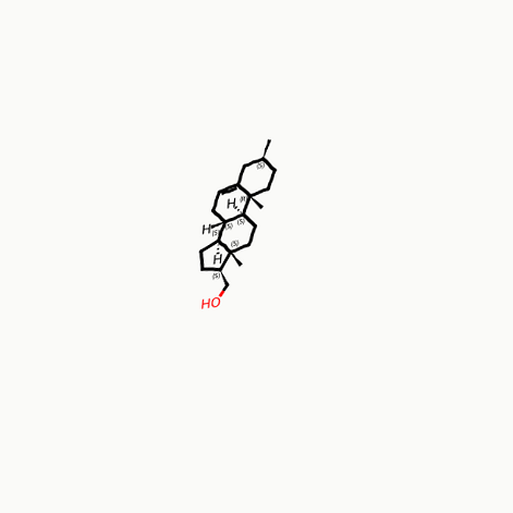 C[C@H]1CC[C@@]2(C)C(=CC[C@H]3[C@@H]4CC[C@H](CO)[C@@]4(C)CC[C@@H]32)C1